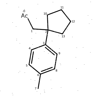 CC(=O)CC1(c2ccc(C)cc2)CCCC1